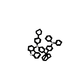 c1ccc(N(c2ccccc2)c2ccc(C3(c4ccc(N(c5ccc(C6CCCCC6)cc5)c5cccc6oc7ccccc7c56)cc4)C4CC5CC(C4)CC3C5)cc2)cc1